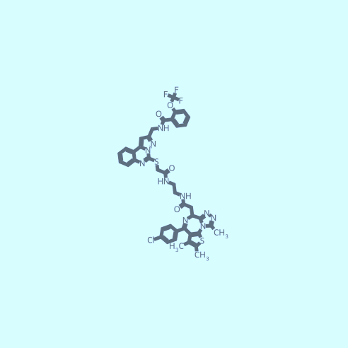 Cc1sc2c(c1C)C(c1ccc(Cl)cc1)=NC(CC(=O)NCCNC(=O)CSc1nc3ccccc3c3cc(CNC(=O)c4ccccc4OC(F)(F)F)nn13)c1nnc(C)n1-2